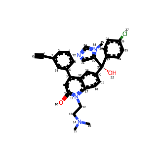 C#Cc1cccc(-c2cc(=O)n(CCN(C)C)c3ccc([C@](O)(c4ccc(Cl)cc4)c4cncn4C)cc23)c1